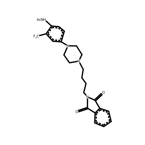 CC(=O)Nc1ccc(N2CCN(CCCCN3C(=O)c4ccccc4C3=O)CC2)cc1C(F)(F)F